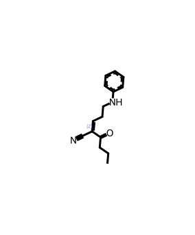 CCCC(=O)/C(C#N)=C\CCNc1ccccc1